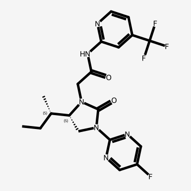 CC[C@H](C)[C@H]1CN(c2ncc(F)cn2)C(=O)N1CC(=O)Nc1cc(C(F)(F)F)ccn1